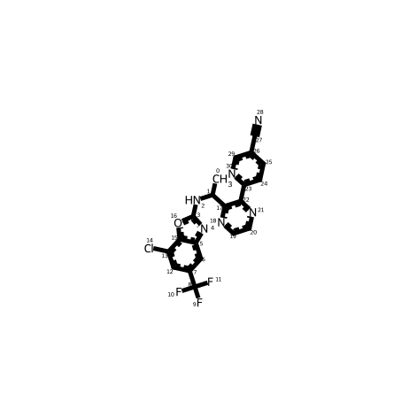 CC(Nc1nc2cc(C(F)(F)F)cc(Cl)c2o1)c1nccnc1-c1ccc(C#N)cn1